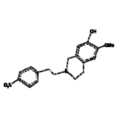 COc1cc2c(cc1O)CN(CCc1ccc([N+](=O)[O-])cc1)CC2